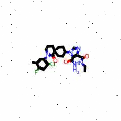 CCNC(=O)c1ncn(C2CCC3(CCCN(c4cc(C)c(F)cc4Cl)C3=O)CC2)c1C(N)=O